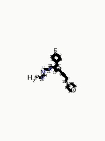 Fc1ccc(-c2sc(C#CCCN3CCOCC3)cc2/C=C/C=N\C=C/P)cc1